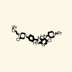 CC(C)OCCN1CCN(c2ccc(-c3nc4c(NC5CCN(C(C)C)CC5)c(Cl)cnc4[nH]3)cc2)CC1=O